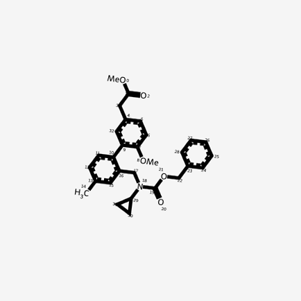 COC(=O)Cc1ccc(OC)c(-c2ccc(C)cc2CN(C(=O)OCc2ccccc2)C2CC2)c1